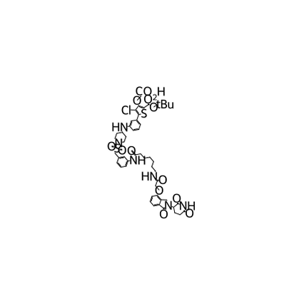 CC(C)(C)OC(=O)c1sc(-c2cccc(NC3CCN(S(=O)(=O)Cc4cccc(NC(=O)CCCCCCNC(=O)COc5cccc6c5CN(C5CCC(=O)NC5=O)C6=O)c4)CC3)c2)c(Cl)c1OCC(=O)O